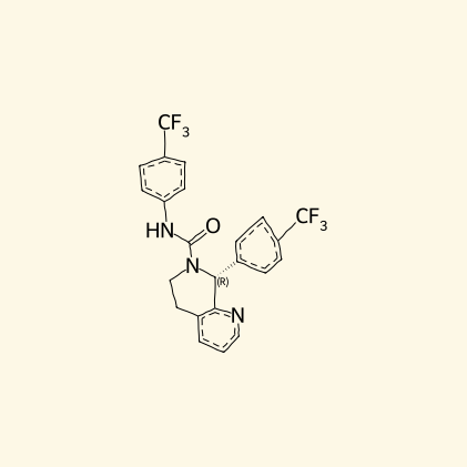 O=C(Nc1ccc(C(F)(F)F)cc1)N1CCc2cccnc2[C@H]1c1ccc(C(F)(F)F)cc1